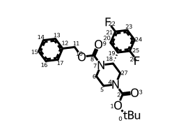 CC(C)(C)OC(=O)N1CCN(C(=O)OCc2ccccc2)[C@H](c2cc(F)ccc2F)C1